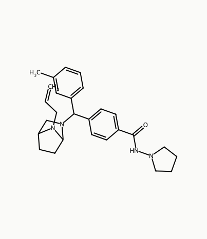 C=CCN1C2CCC1N(C(c1ccc(C(=O)NN3CCCC3)cc1)c1cccc(C)c1)C2